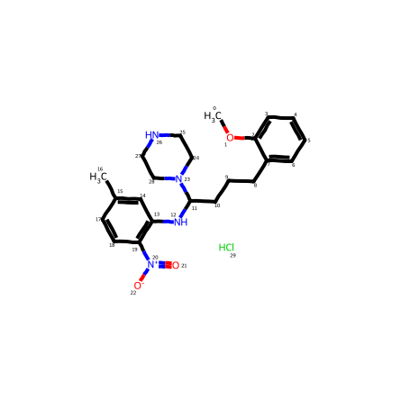 COc1ccccc1CCCC(Nc1cc(C)ccc1[N+](=O)[O-])N1CCNCC1.Cl